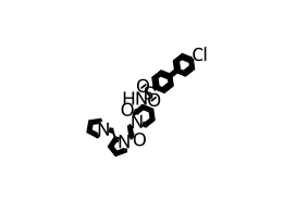 O=C1[C@@H](NS(=O)(=O)c2ccc(-c3ccc(Cl)cc3)cc2)CCCN1CC(=O)N1CCC[C@H]1CN1CCCC1